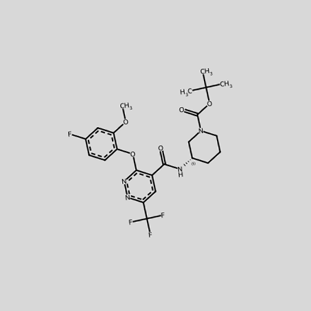 COc1cc(F)ccc1Oc1nnc(C(F)(F)F)cc1C(=O)N[C@H]1CCCN(C(=O)OC(C)(C)C)C1